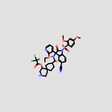 CCOc1ncccc1C1(NC(=O)C2CCC3(CCNCC3OC(=O)C(F)(F)F)CC2)C(=O)N(S(=O)(=O)c2ccc(OC)cc2OC)c2ccc(C#N)cc21